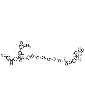 Cn1cc(-c2ccc(N(C(=O)NCc3ccc(OCCOCCOCCOCCOCCOCCNC(=O)COc4ccc5c(c4)C(=O)N(C4CCC(=O)NC4=O)C5=O)cc3)[C@H]3CC[C@H](Nc4ccc(C#N)cn4)CC3)cc2)ccc1=O